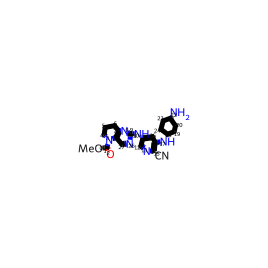 COC(=O)N1CCCc2nc(Nc3cnc(C#N)c(N[C@H]4CC[C@H](N)CC4)c3)ncc21